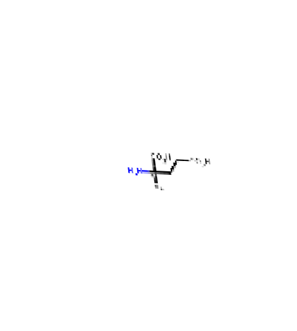 CC(=O)[C@](N)(CCC(=O)O)C(=O)O